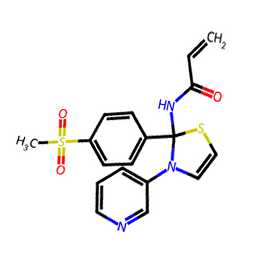 C=CC(=O)NC1(c2ccc(S(C)(=O)=O)cc2)SC=CN1c1cccnc1